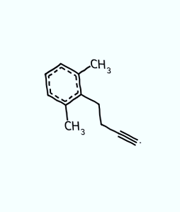 [C]#CCCc1c(C)cccc1C